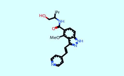 COc1c(C(=O)NC(CO)C(C)C)ccc2[nH]nc(/C=C/c3ccncc3)c12